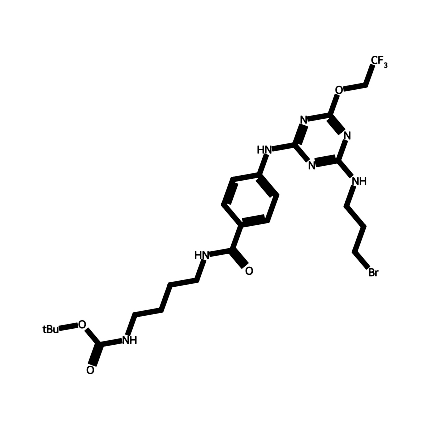 CC(C)(C)OC(=O)NCCCCNC(=O)c1ccc(Nc2nc(NCCCBr)nc(OCC(F)(F)F)n2)cc1